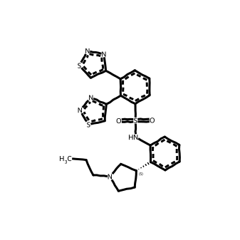 CCCN1CC[C@@H](c2ccccc2NS(=O)(=O)c2cccc(-c3csnn3)c2-c2csnn2)C1